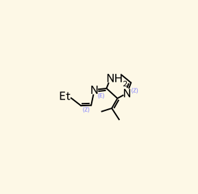 C/C=N\C(=C(C)C)/C(N)=N\C=C/CC